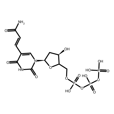 NC(=O)/C=C/c1cn([C@H]2C[C@@H](O)C(COP(=O)(O)OP(=O)(O)OP(=O)(O)O)O2)c(=O)[nH]c1=O